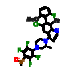 CCc1c(-c2c(F)cccc2OC)c(Cl)cc2c(N3CCN(c4c(F)c(F)c([S+](C)[O-])c(F)c4F)C[C@@H]3C)ccnc12